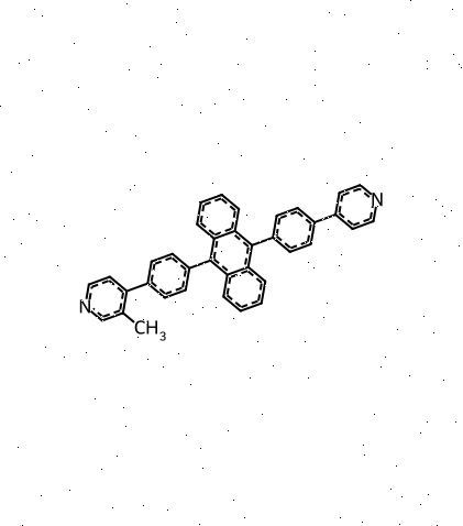 Cc1cnccc1-c1ccc(-c2c3ccccc3c(-c3ccc(-c4ccncc4)cc3)c3ccccc23)cc1